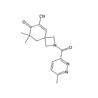 Cc1ccc(C(=O)N2CC3(C=C(C#N)C(=O)C(C)(C)C3)C2)nn1